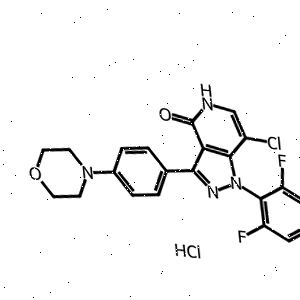 Cl.O=c1[nH]cc(Cl)c2c1c(-c1ccc(N3CCOCC3)cc1)nn2-c1c(F)cccc1F